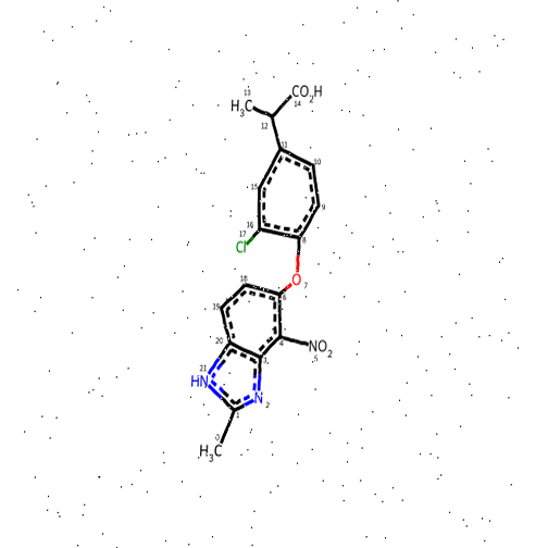 Cc1nc2c([N+](=O)[O-])c(Oc3ccc(C(C)C(=O)O)cc3Cl)ccc2[nH]1